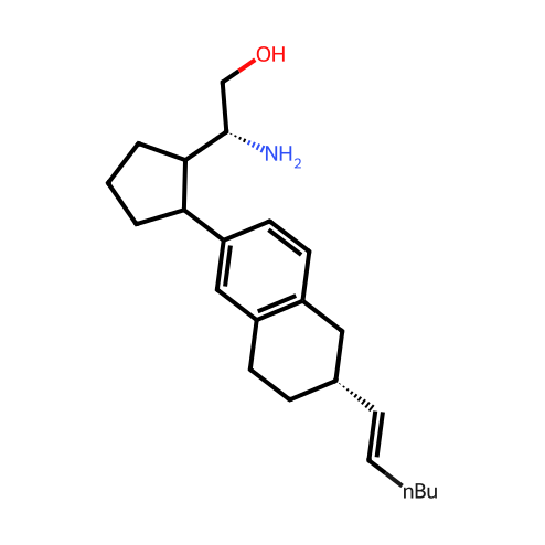 CCCC/C=C/[C@@H]1CCc2cc(C3CCCC3[C@@H](N)CO)ccc2C1